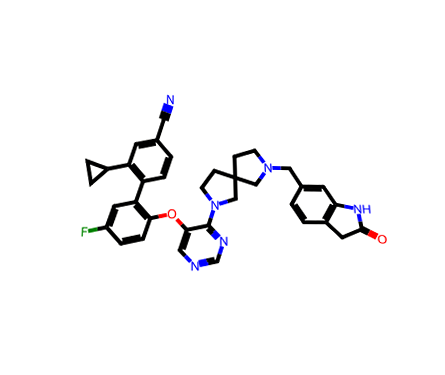 N#Cc1ccc(-c2cc(F)ccc2Oc2cncnc2N2CCC3(CCN(Cc4ccc5c(c4)NC(=O)C5)C3)C2)c(C2CC2)c1